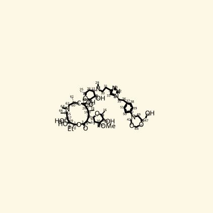 CC[C@H]1OC(=O)[C@H](C)[C@@H](C2C[C@@](C)(OC)[C@@H](O)[C@H](C)O2)[C@H](C)[C@@H](O[C@@H]2O[C@H](C)C[C@H](N(C)CCc3cn(CCc4ccc(N5COCO[C@@H](CO)C5)cc4)nn3)[C@H]2O)[C@](C)(O)C[C@@H](C)CN(C)[C@H](C)[C@@H](O)[C@]1(C)O